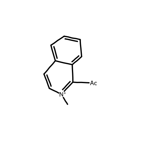 CC(=O)c1c2ccccc2cc[n+]1C